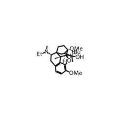 CCN(C)[C@@H]1Cc2ccc(OC)c3c2[C@@]2(C)[C@@H](O3)[C@]3(OC)CCC12C[C@@H]3C(C)(O)C(C)(C)C